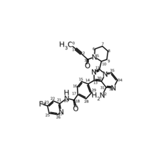 CC#CC(=O)N1CCCCC1c1nc(-c2ccc(C(=O)Nc3cc(F)ccn3)cc2)c2c(N)nccn12